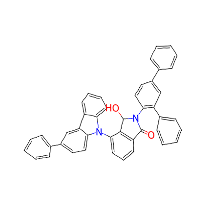 O=C1c2cccc(-n3c4ccccc4c4cc(-c5ccccc5)ccc43)c2C(O)N1c1ccc(-c2ccccc2)cc1-c1ccccc1